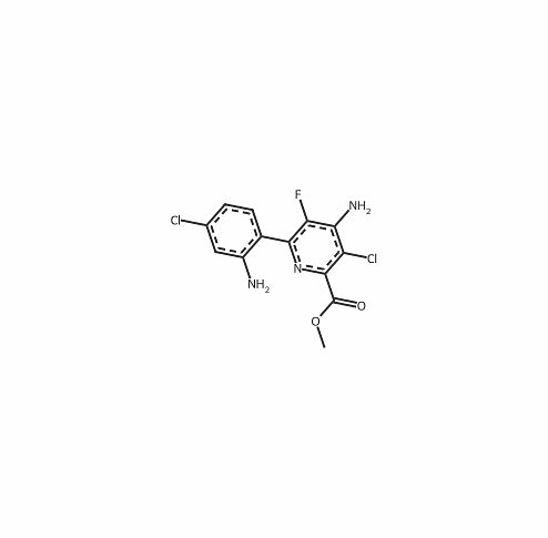 COC(=O)c1nc(-c2ccc(Cl)cc2N)c(F)c(N)c1Cl